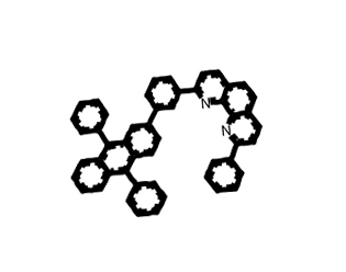 c1ccc(-c2ccc3ccc4ccc(-c5cccc(-c6ccc7c(-c8ccccc8)c8ccccc8c(-c8ccccc8)c7c6)c5)nc4c3n2)cc1